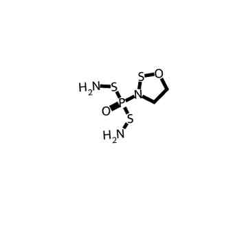 NSP(=O)(SN)N1CCOS1